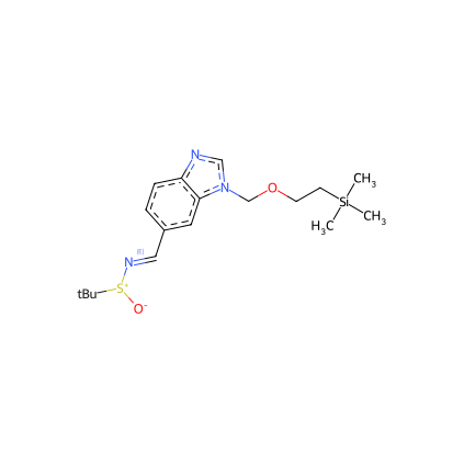 CC(C)(C)[S+]([O-])/N=C/c1ccc2ncn(COCC[Si](C)(C)C)c2c1